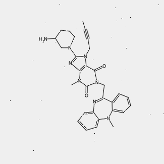 CC#CCn1c(N2CCCC(N)C2)nc2c1c(=O)n(CC1=Nc3ccccc3N(C)c3ccccc31)c(=O)n2C